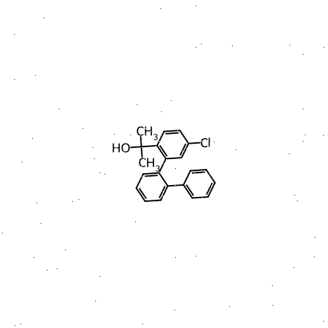 CC(C)(O)c1ccc(Cl)cc1-c1ccccc1-c1ccccc1